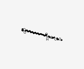 CCOCCOCCOCCNC(=O)CCCCCCCCCCCCCCC(=O)OC(C)(C)C